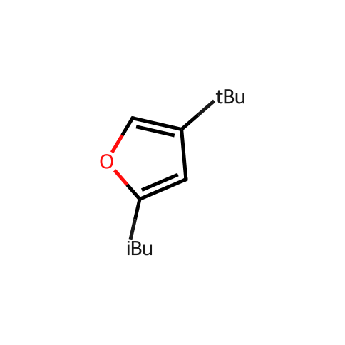 CCC(C)c1cc(C(C)(C)C)co1